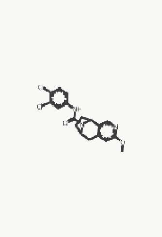 COc1cc2c(cn1)C1CCC(C2)N1C(=O)Nc1ccc(Cl)c(Cl)c1